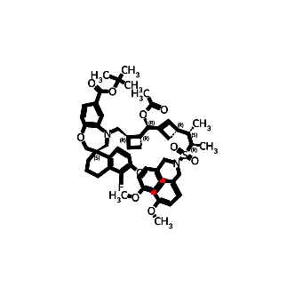 COc1ccc(CN(Cc2ccc(OC)cc2)S(=O)(=O)[C@H](C)[C@@H](C)[C@H]2C=C([C@H](OC(C)=O)[C@@H]3CC[C@H]3CN3C[C@@]4(CCCc5c4ccc(Cl)c5F)COc4ccc(C(=O)OC(C)(C)C)cc43)C2)cc1